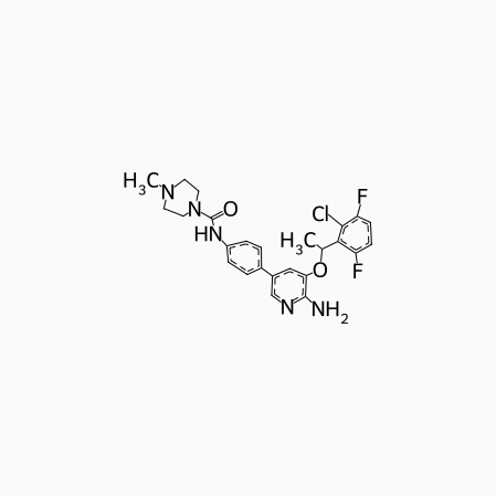 CC(Oc1cc(-c2ccc(NC(=O)N3CCN(C)CC3)cc2)cnc1N)c1c(F)ccc(F)c1Cl